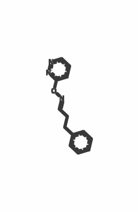 C(CCc1ccccc1)=NOc1cccnn1